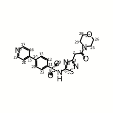 O=C(Cc1nsc(NS(=O)(=O)c2ccc(-c3ccncc3)cc2)n1)N1CCOCC1